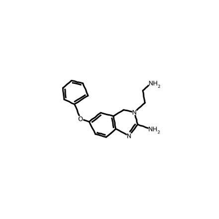 NCCN1Cc2cc(Oc3ccccc3)ccc2N=C1N